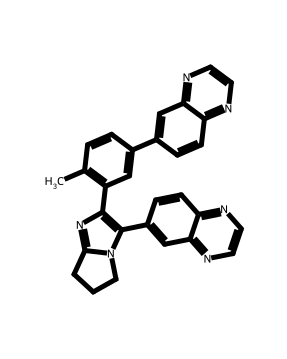 Cc1ccc(-c2ccc3nccnc3c2)cc1-c1nc2n(c1-c1ccc3nccnc3c1)CCC2